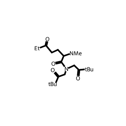 CCC(=O)CCC(NC)C(=O)N(CC(=O)C(C)(C)C)CC(=O)C(C)(C)C